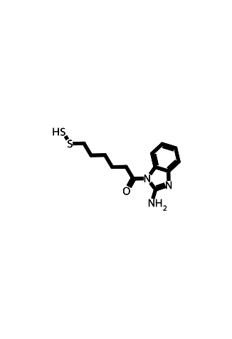 Nc1nc2ccccc2n1C(=O)CCCCCSS